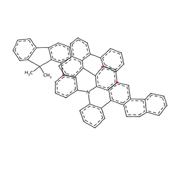 CC1(C)c2ccccc2-c2cccc(-c3cccc(N(c4ccccc4-c4cccc5c4ccc4ccccc45)c4ccccc4-c4cccc5cccc(-c6ccccc6)c45)c3)c21